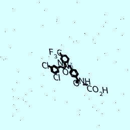 C[C@H](c1ccc(C(=O)NCCC(=O)O)cc1)N1C(=O)C(c2cc(Cl)cc(Cl)c2)=NC12CCCC(C(F)(F)F)C2